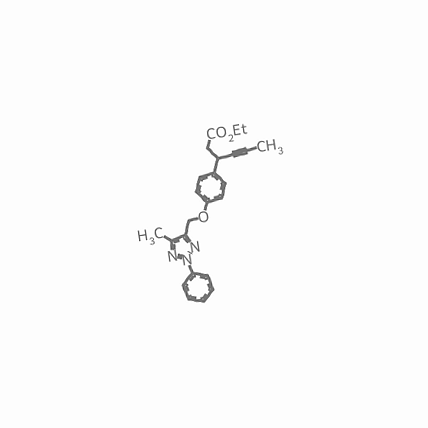 CC#CC(CC(=O)OCC)c1ccc(OCc2nn(-c3ccccc3)nc2C)cc1